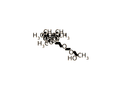 CC(O)COCCOCCC[Si](C)(O[Si](C)(C)C)O[Si](C)(C)O[Si](C)(C)C